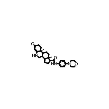 C[C@]12CCC(=O)C=C1NCC1C2CC[C@@]2(C)C1CC[C@@H]2C(=O)Nc1ccc(N2CCOCC2)cc1